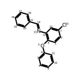 Clc1ccc(Oc2ccccc2)c(N=Cc2ccccc2)c1